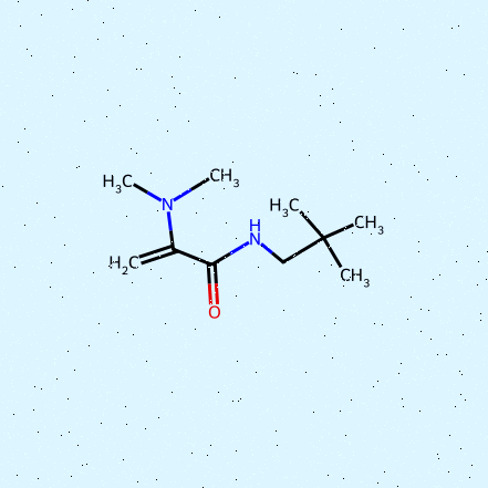 C=C(C(=O)NCC(C)(C)C)N(C)C